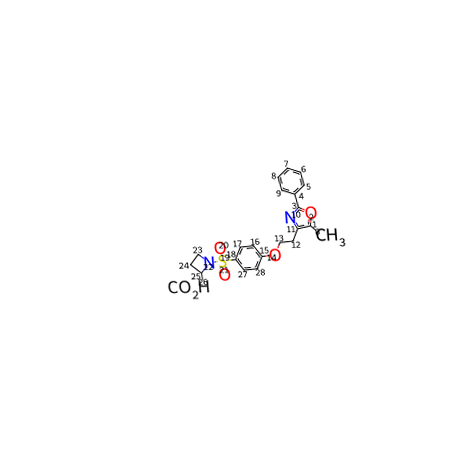 Cc1oc(-c2ccccc2)nc1CCOc1ccc(S(=O)(=O)N2CCC2C(=O)O)cc1